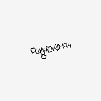 C[C@H]1CN(c2ccc(C(C)(C)O)cn2)CCN1c1nnc(Cc2ccccc2)c2ccccc12